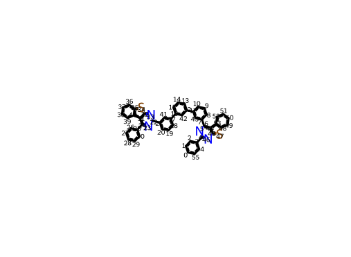 c1ccc(-c2nc(-c3cccc(-c4cccc(-c5cccc(-c6nc(-c7ccccc7)c7c(n6)sc6ccccc67)c5)c4)c3)c3c(n2)sc2ccccc23)cc1